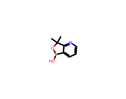 CC1(C)OB(O)c2cccnc21